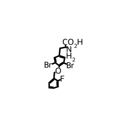 NC(Cc1cc(Br)c(OCc2ccccc2F)c(Br)c1)C(=O)O